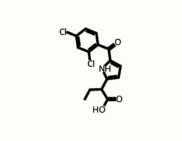 CCC(C(=O)O)c1ccc(C(=O)c2ccc(Cl)cc2Cl)[nH]1